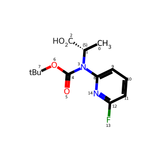 C[C@@H](C(=O)O)N(C(=O)OC(C)(C)C)c1cccc(F)n1